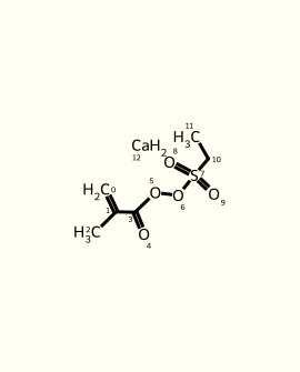 C=C(C)C(=O)OOS(=O)(=O)CC.[CaH2]